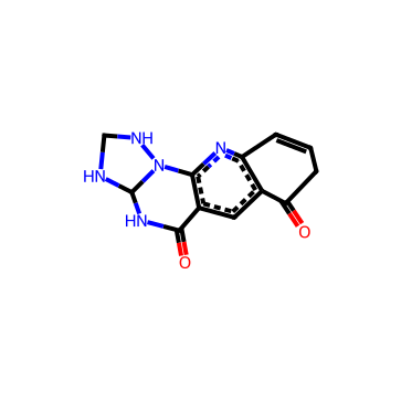 O=C1CC=Cc2nc3c(cc21)C(=O)NC1NCNN31